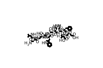 CC(C)[C@H](NC(=O)[C@H](CCC(=O)O)NC(=O)[C@H](Cc1ccccc1)NC(=O)[C@@H](CCN)NC(=O)[C@H](CCN)NC(=O)[C@H](CO)NC(=O)[C@@H](Cc1c[nH]c2ccccc12)NC(=O)[C@@H](CO)NC(=O)CNC(=O)[C@@H](CCN)NC(=O)[C@H](N)C(C)C)C(=O)O